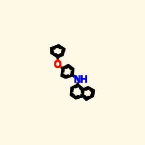 c1ccc(Oc2ccc(Nc3cccc4ccccc34)cc2)cc1